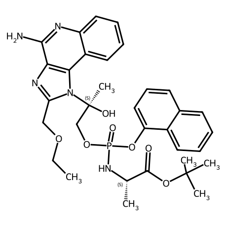 CCOCc1nc2c(N)nc3ccccc3c2n1[C@@](C)(O)COP(=O)(N[C@@H](C)C(=O)OC(C)(C)C)Oc1cccc2ccccc12